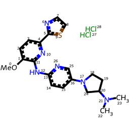 COc1ccc(-c2nccs2)nc1Nc1ccc(N2CCC(N(C)C)C2)cn1.Cl.Cl